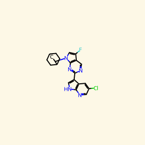 Fc1cn(C2CC3CCC2CC3)c2nc(-c3c[nH]c4ncc(Cl)cc34)ncc12